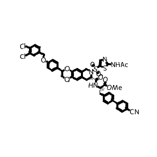 COC(=O)[C@H](Cc1ccc(-c2ccc(C#N)cc2)cc1)NC(=O)[C@@H]1Cc2cc3c(cc2CN1S(=O)(=O)c1cnc(NC(C)=O)s1)OC(c1ccc(OCc2ccc(Cl)c(Cl)c2)cc1)CO3